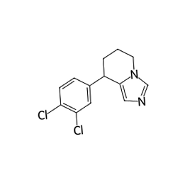 Clc1ccc(C2CCCn3cncc32)cc1Cl